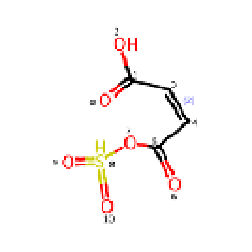 O=C(O)/C=C\C(=O)O[SH](=O)=O